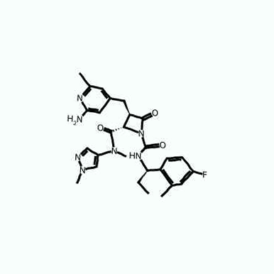 CC[C@@H](NC(=O)N1C(=O)[C@H](Cc2cc(C)nc(N)c2)[C@H]1C(=O)N(C)c1cnn(C)c1)c1ccc(F)cc1C